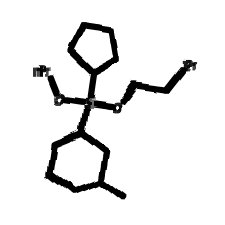 CCCO[Si](OCCC(C)C)(C1CCCC1)C1CCCC(C)C1